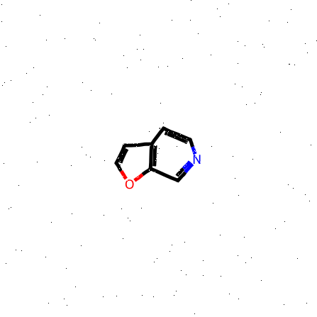 [c]1cncc2occc12